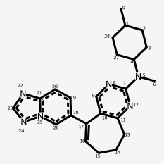 CC1CCC(N(C)c2ncc3c(n2)CCCC=C3c2ccc3ncnn3c2)CC1